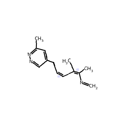 C=N/C(C)=C(C)\C=C/Cc1cnnc(C)c1